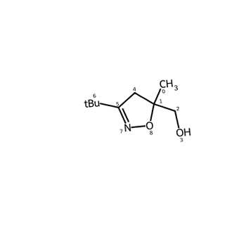 CC1(CO)CC(C(C)(C)C)=NO1